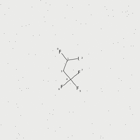 F[C](I)CC(F)(F)F